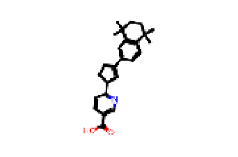 CC1(C)CCC(C)(C)c2cc(C3=CC(c4ccc(C(=O)O)cn4)CC3)ccc21